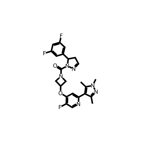 Cc1nn(C)c(C)c1-c1cc(OC2CN(C(=O)N3N=CCC3c3cc(F)cc(F)c3)C2)c(F)cn1